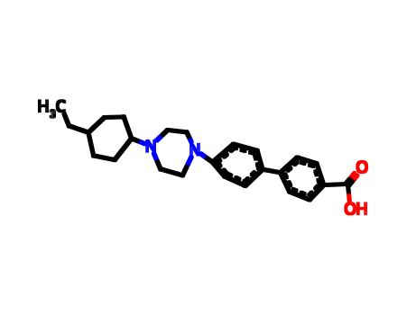 CCC1CCC(N2CCN(c3ccc(-c4ccc(C(=O)O)cc4)cc3)CC2)CC1